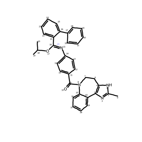 Cc1nc2c([nH]1)CCN(C(=O)c1ccc(/N=C(\OC(C)C)c3ccccc3-c3ccccc3)cc1)c1ccccc1-2